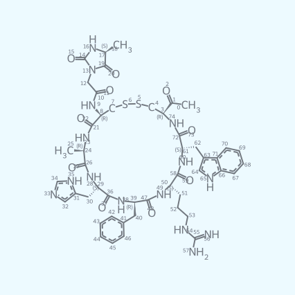 CC(=O)[C@@H]1CSSC[C@H](NC(=O)CN2C(=O)N[C@@H](C)C2=O)C(=O)N[C@H](C)C(=O)N[C@@H](Cc2cnc[nH]2)C(=O)N[C@H](Cc2ccccc2)C(=O)N[C@@H](CCCNC(=N)N)C(=O)N[C@@H](Cc2c[nH]c3ccccc23)C(=O)N1